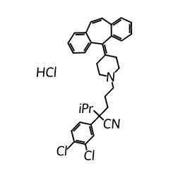 CC(C)C(C#N)(CCCN1CCC(=C2c3ccccc3C=Cc3ccccc32)CC1)c1ccc(Cl)c(Cl)c1.Cl